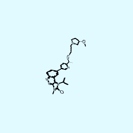 CO[C@H]1CCN(CCO[C@H](C)c2ccc(-c3ccc4nnc5c(c4c3)n(C(C)C)c(=O)n5C)cn2)C1